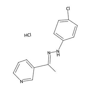 C/C(=N\Nc1ccc(Cl)cc1)c1cccnc1.Cl